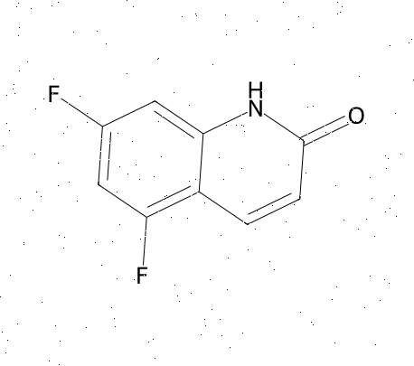 O=c1ccc2c(F)cc(F)cc2[nH]1